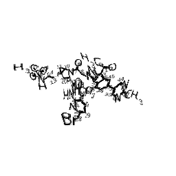 CC(=O)c1nn(CC(=O)N2C3C[C@]3(CCNS(C)(=O)=O)C[C@H]2C(=O)Nc2nc(Br)ccc2C)c2c(C)cc(-c3cnc(C)nc3)cc12